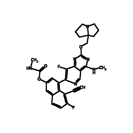 C#Cc1c(F)ccc2cc(OC(=O)NC)cc(-c3ncc4c(NC)nc(OCC56CCCN5CCC6)nc4c3F)c12